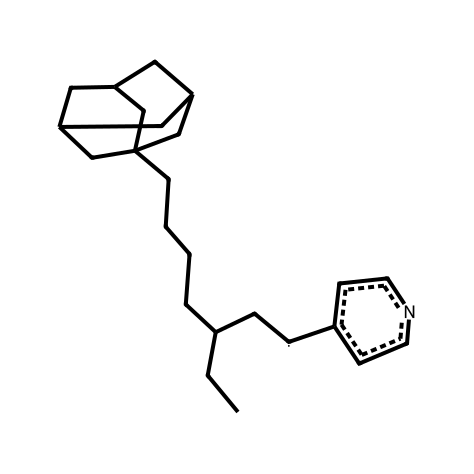 CCC(C[CH]c1ccncc1)CCCCC12CC3CC(CC(C3)C1)C2